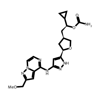 COCc1cc2c(Nc3cc([C@H]4C[C@@H](C[C@H](OC(N)=O)C5CC5)CO4)[nH]n3)nccn2n1